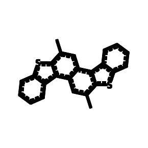 Cc1cc2c(cc(C)c3sc4ccccc4c32)c2c1sc1ccccc12